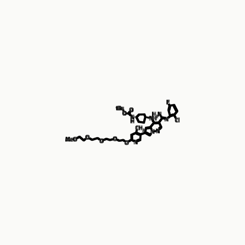 COCCOCCOCCOCCOc1cc(C)c(-c2cc3c(N[C@H]4CC[C@H](NC(=O)OC(C)(C)C)CC4)c(C(N)=Nc4cc(F)ccc4Cl)cnn3c2)cn1